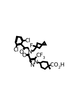 CC1(C(=O)O)CCC(n2ncc(C(=O)N(CC(=O)c3c(Cl)cccc3Cl)CC3(F)CC4(CC4)C3)c2C(F)(F)F)CC1